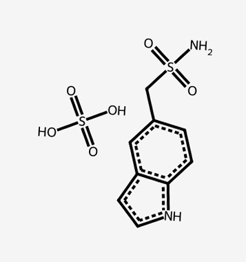 NS(=O)(=O)Cc1ccc2[nH]ccc2c1.O=S(=O)(O)O